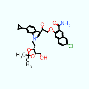 CC1(C)O[C@H](CO)[C@@H](CCn2cc(C(=O)COc3cc4ccc(Cl)cc4cc3C(N)=O)c3ccc(C4CC4)cc32)O1